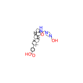 CC1(C)C(c2ccc(C(=O)O)cc2)=CC[C@@]2(C)C1CC[C@]1(C)C2CC[C@@H]2C3CCC[C@]3(NC(=O)CN3CCN(CCO)CC3)CC[C@]21C